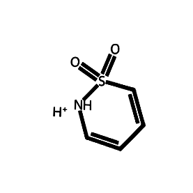 O=S1(=O)C=CC=CN1.[H+]